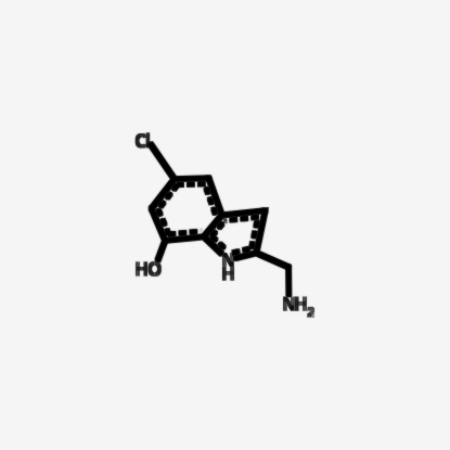 NCc1cc2cc(Cl)cc(O)c2[nH]1